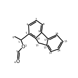 CC(O[C]=O)c1cccc2c1Cc1ccccc1-2